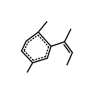 C/C=C(/C)c1cc(C)ccc1C